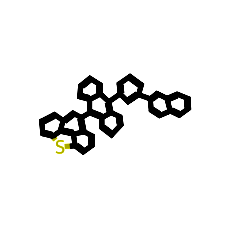 c1cc(-c2ccc3ccccc3c2)cc(-c2c3ccccc3c(-c3cc4cccc5sc6cccc3c6c45)c3ccccc23)c1